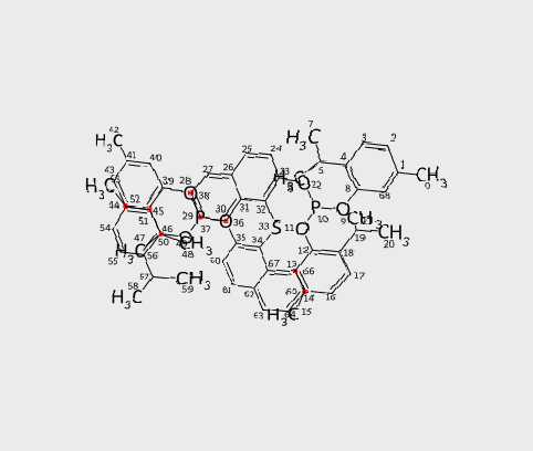 Cc1ccc(C(C)C)c(OP(Oc2cc(C)ccc2C(C)C)Oc2ccc3ccccc3c2Sc2c(OP(Oc3cc(C)ccc3C(C)C)Oc3cc(C)ccc3C(C)C)ccc3ccccc23)c1